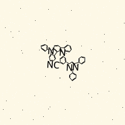 N#Cc1cc(-c2cc(-c3ccccc3)nc(-c3ccccc3)n2)cc(-n2c3ccccc3c3ccc4c(c5ccccc5n4-c4ccccc4)c32)c1